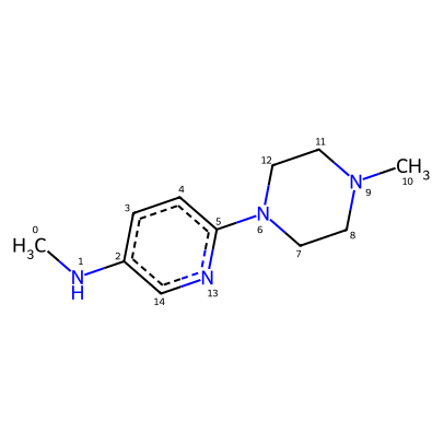 CNc1ccc(N2CCN(C)CC2)nc1